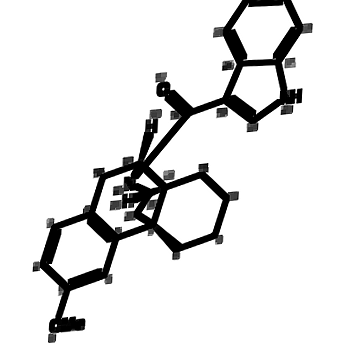 COc1ccc2c(c1)[C@@]13CCCC[C@H]1[C@@H](C2)N(C(=O)c1c[nH]c2ccccc12)CC3